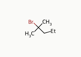 [CH2]CCC(C)(C)Br